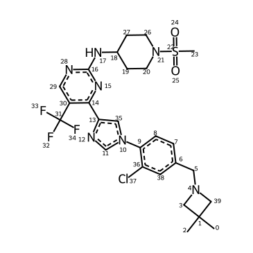 CC1(C)CN(Cc2ccc(-n3cnc(-c4nc(NC5CCN(S(C)(=O)=O)CC5)ncc4C(F)(F)F)c3)c(Cl)c2)C1